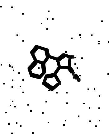 O=C=C1NC=C(c2cccc3ccccc23)C1c1cccs1